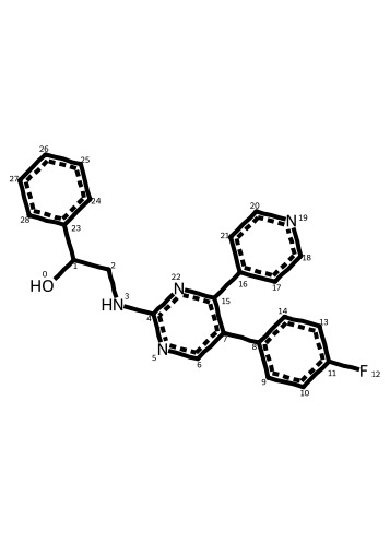 OC(CNc1ncc(-c2ccc(F)cc2)c(-c2ccncc2)n1)c1ccccc1